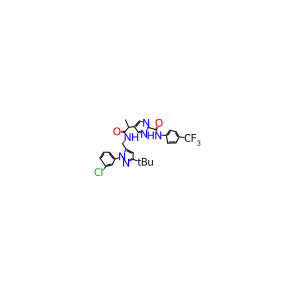 CC(C(=O)NCc1cc(C(C)(C)C)nn1-c1cccc(Cl)c1)c1cnc(C(=O)Nc2ccc(C(F)(F)F)cc2)nc1